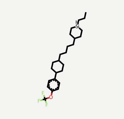 CCC[SiH]1CCC(CCCCC2CCC(c3ccc(OC(F)(F)F)cc3)CC2)CC1